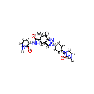 COc1cc2nn(C3CCC(N4CCN(C)C4=O)CC3)cc2cc1C(=O)Nc1cccn(C)c1=O